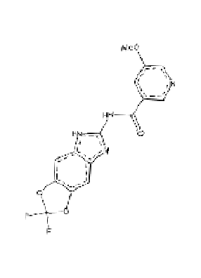 COc1cncc(C(=O)Nc2nc3cc4c(cc3[nH]2)OC(F)(F)O4)c1